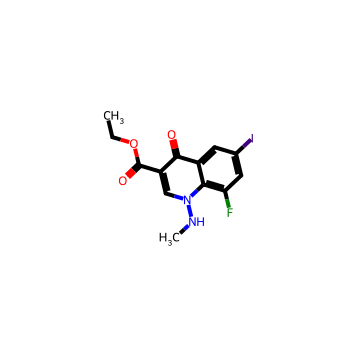 CCOC(=O)c1cn(NC)c2c(F)cc(I)cc2c1=O